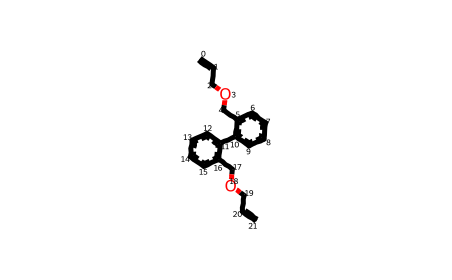 C=CCOCc1ccccc1-c1ccccc1COCC=C